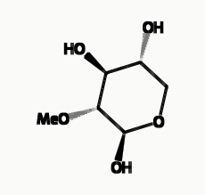 CO[C@@H]1[C@@H](O)[C@H](O)CO[C@H]1O